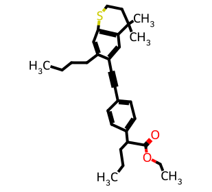 CCCCc1cc2c(cc1C#Cc1ccc(C(CCC)C(=O)OCC)cc1)C(C)(C)CCS2